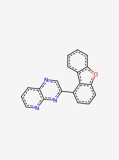 c1cnc2nc(-c3cccc4oc5ccccc5c34)cnc2c1